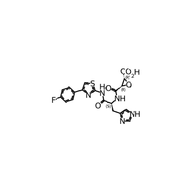 O=C(Nc1nc(-c2ccc(F)cc2)cs1)[C@H](Cc1c[nH]cn1)NC(=O)[C@@H]1O[C@H]1C(=O)O